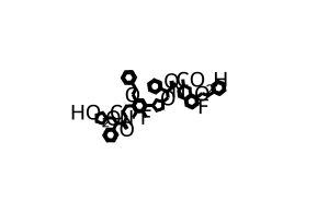 O=C(O)C1Cc2c(ccc(F)c2OCc2ccccc2)CN1C(=O)C(OC1CCC(c2cc(OCc3ccccc3)c3c(c2F)CN(C(=O)C(OC2CCCC2)c2ccccc2)C(C(=O)O)C3)C1)c1ccccc1